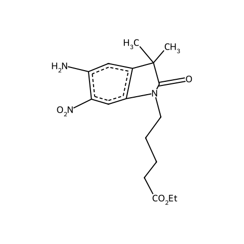 CCOC(=O)CCCCN1C(=O)C(C)(C)c2cc(N)c([N+](=O)[O-])cc21